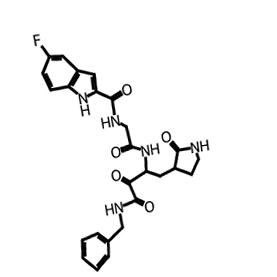 O=C(CNC(=O)c1cc2cc(F)ccc2[nH]1)NC(CC1CCNC1=O)C(=O)C(=O)NCc1ccccc1